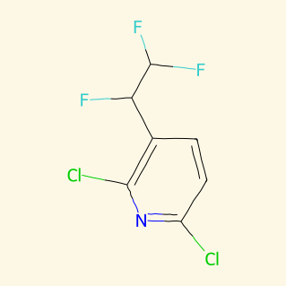 FC(F)C(F)c1ccc(Cl)nc1Cl